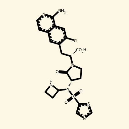 Nc1nccc2cc(C[C@H](C(=O)O)N3CC[C@H](N(C4CCN4)S(=O)(=O)c4cncs4)C3=O)c(Cl)cc12